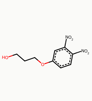 O=[N+]([O-])c1ccc(OCCCO)cc1[N+](=O)[O-]